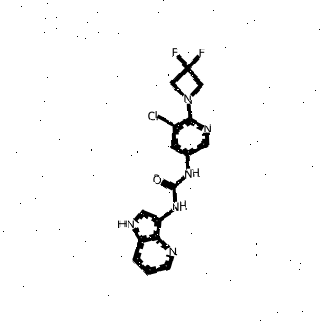 O=C(Nc1cnc(N2CC(F)(F)C2)c(Cl)c1)Nc1c[nH]c2cccnc12